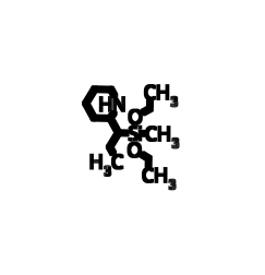 CCO[Si](C)(OCC)C(CC)C1CCCCN1